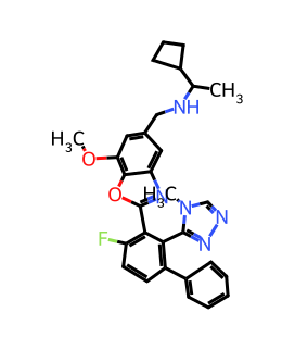 COc1cc(CNC(C)C2CCC2)cc2nc(-c3c(F)ccc(-c4ccccc4)c3-c3nncn3C)oc12